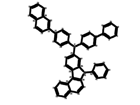 c1ccc(-c2ccc(N(c3ccc(-c4ccc5ccccc5c4)cc3)c3ccc4c5c6ccccc6ccc5n(-c5ccccc5)c4c3)cc2)cc1